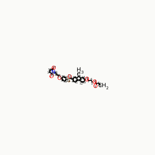 C=CC(=O)OCCCOc1ccc2c(c1)C(C)c1cc(C(=O)Sc3ccc(OCCCN4C(=O)C=CC4=O)cc3)ccc1-2